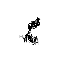 CN(CCCSc1ccc(Cl)c(COC2(c3cnccc3-c3ccccc3OC3CC3)CC2)c1)C(=O)C(O)C(O)C(O)C(O)CO